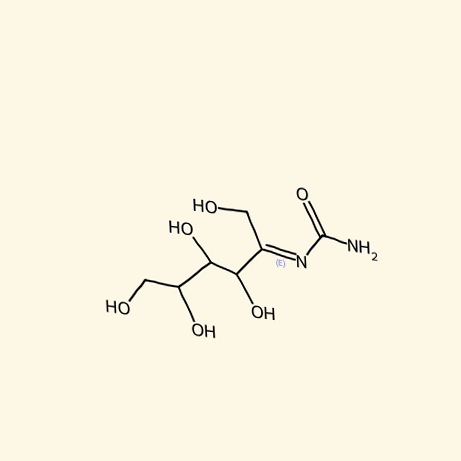 NC(=O)/N=C(\CO)C(O)C(O)C(O)CO